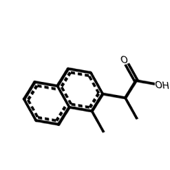 Cc1c(C(C)C(=O)O)ccc2ccccc12